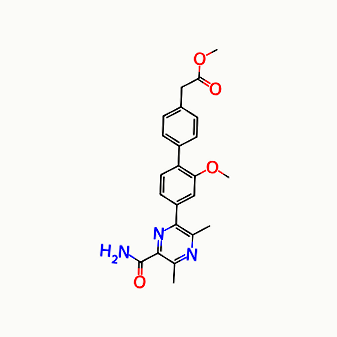 COC(=O)Cc1ccc(-c2ccc(-c3nc(C(N)=O)c(C)nc3C)cc2OC)cc1